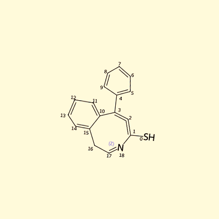 SC1=C=C(c2ccccc2)c2ccccc2C/C=N\1